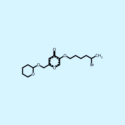 CC(Br)CCCCOc1coc(COC2CCCCO2)cc1=O